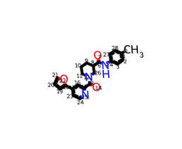 Cc1ccc(NC(=O)C2CCCN(C(=O)c3cc(-c4ccco4)ccn3)C2)cc1